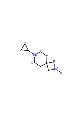 CN1CC2(CCN(C3CC3)CC2)C1